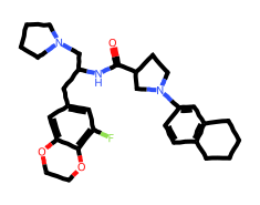 O=C(NC(Cc1cc(F)c2c(c1)OCCO2)CN1CCCC1)C1CCN(c2ccc3c(c2)CCCC3)C1